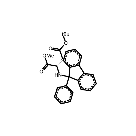 COC(=O)[C@H](CC(=O)OC(C)(C)C)NC1(c2ccccc2)c2ccccc2-c2ccccc21